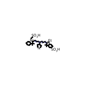 CCN1/C(=C/C=C/C(=C/C=C/C2=[N+](CCS(=O)(=O)O)c3ccccc3C2(C)C)c2ccncc2)C(C)(C)c2cc(S(=O)(=O)O)ccc21